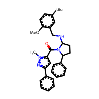 COc1ccc(C(C)(C)C)cc1CNC1CCC(c2ccccc2)N1C(=O)c1cc(-c2ccccc2)nn1C